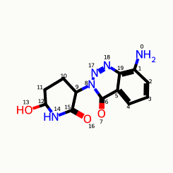 Nc1cccc2c(=O)n(C3CCC(O)NC3=O)nnc12